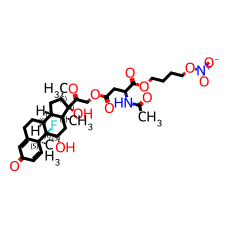 CC(=O)NC(CC(=O)OCC(=O)[C@@]1(O)[C@@H](C)C[C@H]2[C@@H]3CCC4=CC(=O)C=C[C@]4(C)[C@@]3(F)[C@@H](O)C[C@@]21C)C(=O)OCCCCO[N+](=O)[O-]